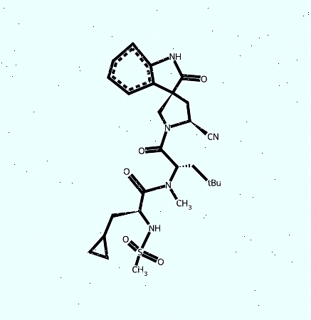 CN(C(=O)[C@H](CC1CC1)NS(C)(=O)=O)[C@@H](CC(C)(C)C)C(=O)N1C[C@]2(C[C@H]1C#N)C(=O)Nc1ccccc12